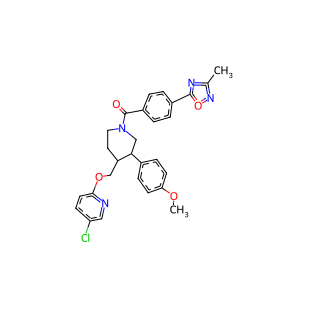 COc1ccc(C2CN(C(=O)c3ccc(-c4nc(C)no4)cc3)CCC2COc2ccc(Cl)cn2)cc1